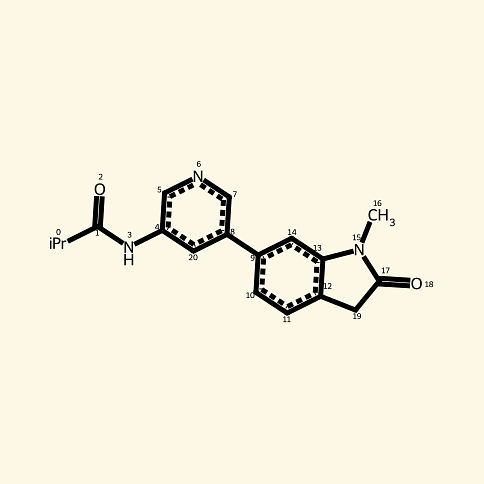 CC(C)C(=O)Nc1cncc(-c2ccc3c(c2)N(C)C(=O)C3)c1